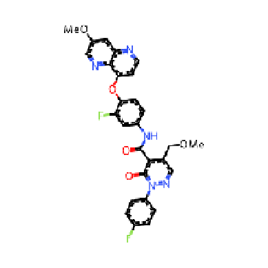 COCc1cnn(-c2ccc(F)cc2)c(=O)c1C(=O)Nc1ccc(Oc2ccnc3cc(OC)cnc23)c(F)c1